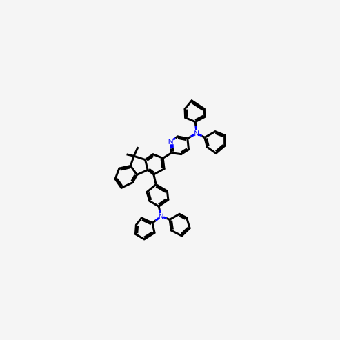 CC1(C)c2ccccc2-c2c(-c3ccc(N(c4ccccc4)c4ccccc4)cc3)cc(-c3ccc(N(c4ccccc4)c4ccccc4)cn3)cc21